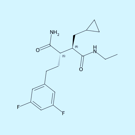 CCNC(=O)[C@H](CC1CC1)[C@H](CCc1cc(F)cc(F)c1)C(N)=O